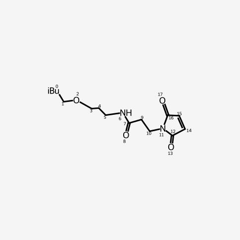 CCC(C)COCCCNC(=O)CCN1C(=O)C=CC1=O